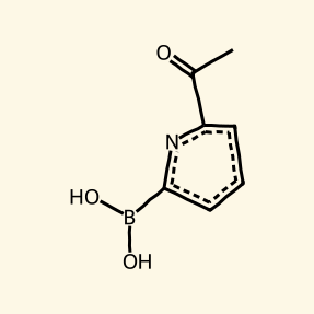 CC(=O)c1cccc(B(O)O)n1